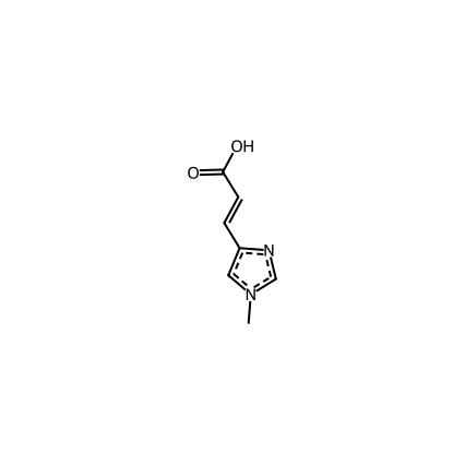 Cn1cnc(C=CC(=O)O)c1